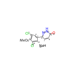 COc1c(Cl)cc(-c2ccc(=O)[nH]n2)cc1Cl.[NaH]